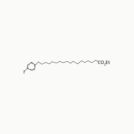 CCOC(=O)CCCCCCCCCCCCCCCCCc1ccc(I)cc1